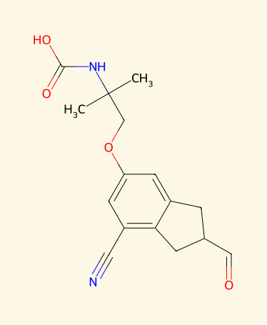 CC(C)(COc1cc(C#N)c2c(c1)CC(C=O)C2)NC(=O)O